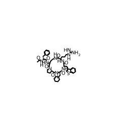 CC(=O)N[C@@H](Cc1ccccc1)C(=O)N[C@H]1CCNC(=O)C(CCCNC(=N)N)NC(=O)C(Cc2csc3ccccc23)NC(=O)[C@@H](CC2CCCCC2)NC(=O)C2CCCN2C1=O